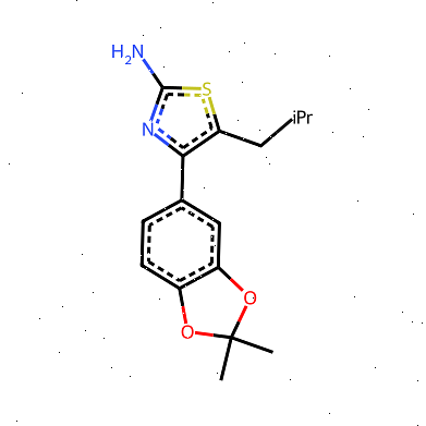 CC(C)Cc1sc(N)nc1-c1ccc2c(c1)OC(C)(C)O2